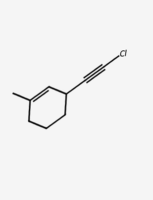 CC1=CC(C#CCl)CCC1